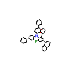 Fc1cc(-c2cccc3ccccc23)cc(-c2ccccc2)c1N(c1ccc(-c2ccccc2)cc1)c1ccc(-c2ccccc2)cc1